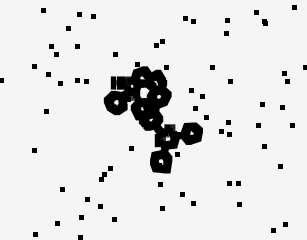 c1ccc(-c2cc(-c3ccccc3)nc(-c3cccc(-c4ccc5ccc6ccc7c(c6c5c4)N(c4ccccc4)C(c4ccccc4)N7)c3)n2)cc1